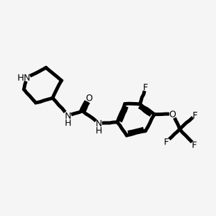 O=C(Nc1ccc(OC(F)(F)F)c(F)c1)NC1CCNCC1